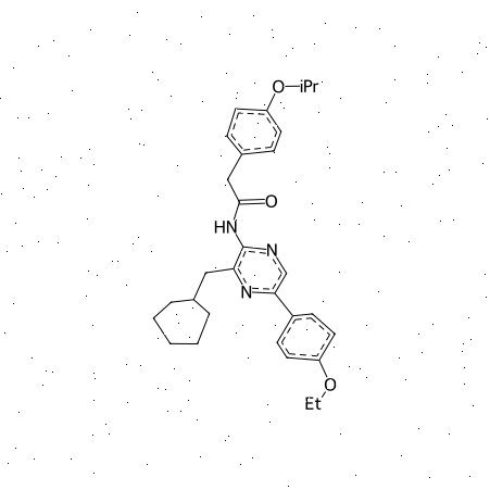 CCOc1ccc(-c2cnc(NC(=O)Cc3ccc(OC(C)C)cc3)c(CC3CCCCC3)n2)cc1